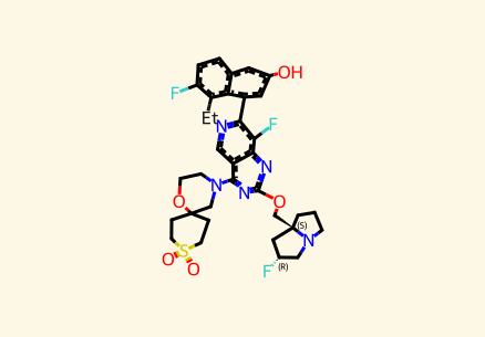 CCc1c(F)ccc2cc(O)cc(-c3ncc4c(N5CCOC6(CCS(=O)(=O)CC6)C5)nc(OC[C@@]56CCCN5C[C@H](F)C6)nc4c3F)c12